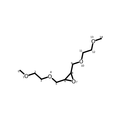 COCCOCC1OC1COCCOC